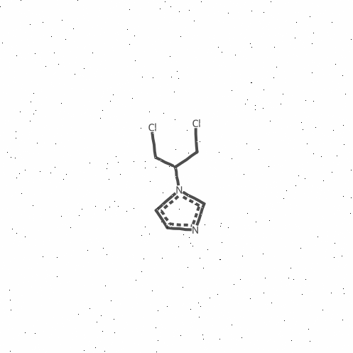 ClCC(CCl)n1ccnc1